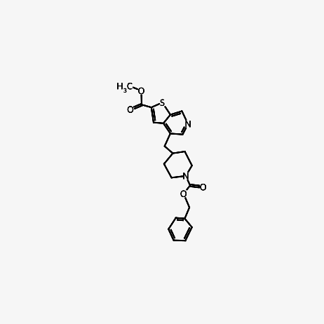 COC(=O)c1cc2c(CC3CCN(C(=O)OCc4ccccc4)CC3)cncc2s1